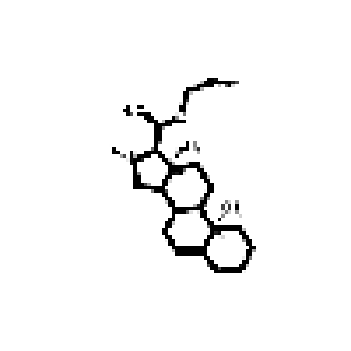 CCCC(C)COC(C)C1[C@@H](O)CC2C3CC=C4CCCC[C@]4(C)C3CC[C@@]21C